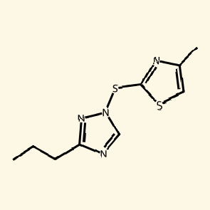 CCCc1ncn(Sc2nc(C)cs2)n1